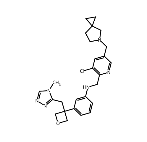 Cn1cnnc1CC1(c2cccc(NCc3ncc(CN4CCC5(CC5)C4)cc3Cl)c2)COC1